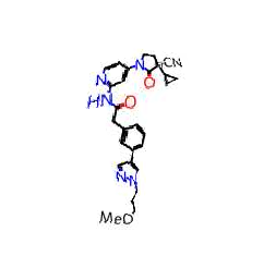 COCCCn1cc(-c2cccc(CC(=O)Nc3cc(N4CC[C@@](C#N)(C5CC5)C4=O)ccn3)c2)cn1